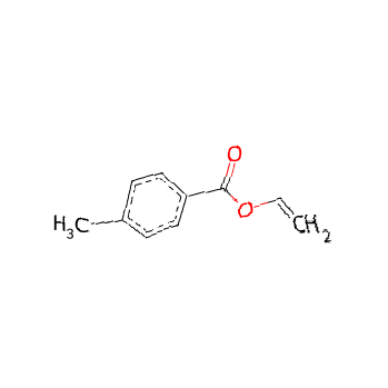 C=COC(=O)c1ccc(C)cc1